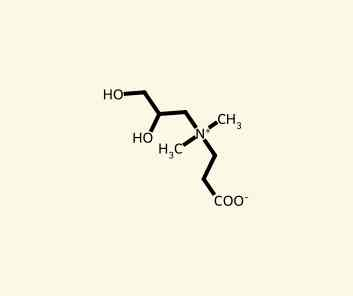 C[N+](C)(CCC(=O)[O-])CC(O)CO